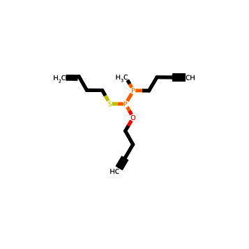 C#CCCOP(SCCC=C)P(C)CCC#C